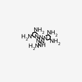 NNc1nc(N2C[C@H](N)C[C@H](N)C2)nc(N2C[C@H](N)C[C@H](N)C2)n1